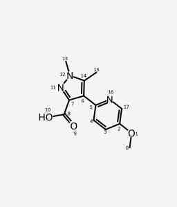 COc1ccc(-c2c(C(=O)O)nn(C)c2C)nc1